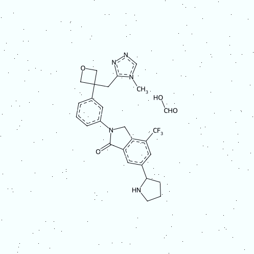 Cn1cnnc1CC1(c2cccc(N3Cc4c(cc(C5CCCN5)cc4C(F)(F)F)C3=O)c2)COC1.O=CO